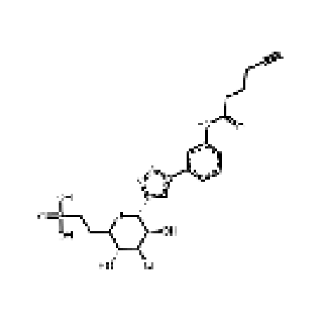 C#CCCCC(=O)Nc1cccc(-n2cc([C@H]3O[C@H](CCP(=O)(O)O)[C@@H](O)[C@H](O)[C@@H]3O)nn2)c1